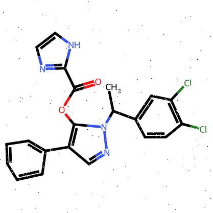 CC(c1ccc(Cl)c(Cl)c1)n1ncc(-c2ccccc2)c1OC(=O)c1ncc[nH]1